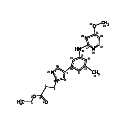 CCOC(=O)CCn1cc(-c2cc(C)cc(Nc3nccc(OC)n3)c2)cn1